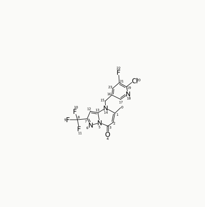 Cc1cc(=O)n2nc(C(F)(F)F)cc2n1Cc1cnc(Cl)c(F)c1